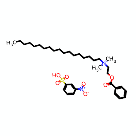 CCCCCCCCCCCCCCCCCC[N+](C)(C)CCOC(=O)c1ccccc1.O=[N+]([O-])c1cccc(S(=O)(=O)O)c1